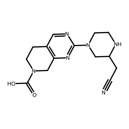 N#CCC1CN(c2ncc3c(n2)CN(C(=O)O)CC3)CCN1